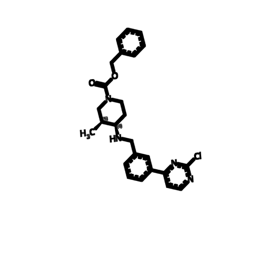 C[C@H]1CN(C(=O)OCc2ccccc2)CC[C@H]1NCc1cccc(-c2ccnc(Cl)n2)c1